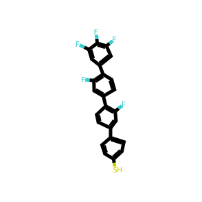 Fc1cc(-c2ccc(S)cc2)ccc1-c1ccc(-c2cc(F)c(F)c(F)c2)c(F)c1